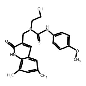 COc1ccc(NC(=S)N(CCO)Cc2cc3cc(C)cc(C)c3[nH]c2=O)cc1